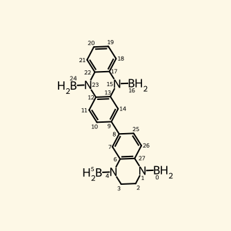 BN1CCN(B)c2cc(-c3ccc4c(c3)N(B)c3ccccc3N4B)ccc21